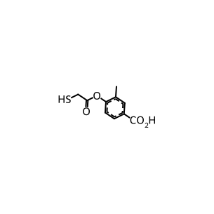 Cc1cc(C(=O)O)ccc1OC(=O)CS